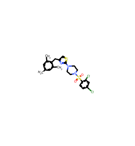 Cc1cc(C)c(Cc2csc(N3CCN(S(=O)(=O)c4ccc(Cl)cc4Cl)CC3)n2)c(C)c1